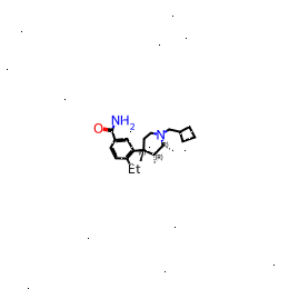 CCc1ccc(C(N)=O)cc1[C@]1(C)CCN(CC2CCC2)[C@H](C)[C@@H]1C